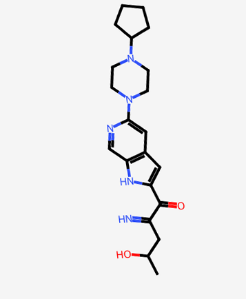 CC(O)CC(=N)C(=O)c1cc2cc(N3CCN(C4CCCC4)CC3)ncc2[nH]1